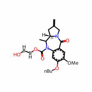 C=C1C[C@H]2C(C)N(C(=O)OBBO)c3cc(OCCCC)c(OC)cc3C(=O)N2C1